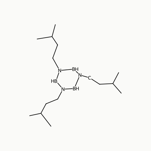 CC(C)CCN1BN(CCC(C)C)BN(CCC(C)C)B1